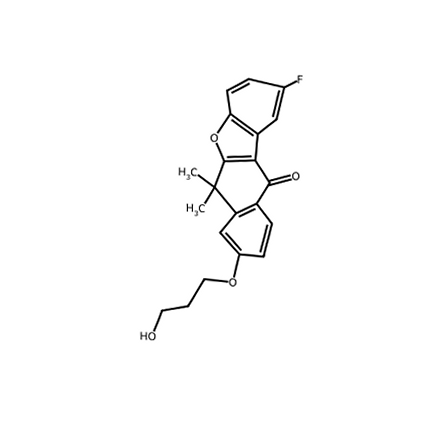 CC1(C)c2cc(OCCCO)ccc2C(=O)c2c1oc1ccc(F)cc21